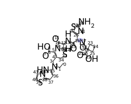 CCN(CC1=C(C(=O)O)N2C(=O)C(NC(=O)/C(=N\OC3(C(=O)O)CCC3)c3csc(N)n3)[C@@H]2SC1)C1=CC=C2SC=CN2N1